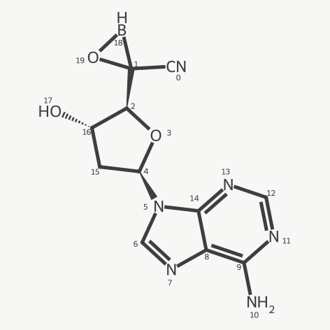 N#CC1([C@H]2O[C@@H](n3cnc4c(N)ncnc43)C[C@@H]2O)BO1